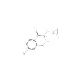 O=C1c2ccc(Br)cc2CCN1C[C@@H]1CO1